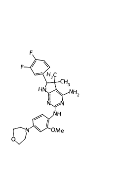 COc1cc(N2CCOCC2)ccc1Nc1nc(N)c2c(n1)NC(c1ccc(F)c(F)c1)C2(C)C